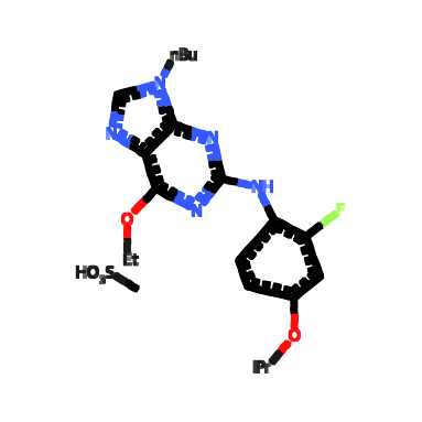 CCCCn1cnc2c(OCC)nc(Nc3ccc(OC(C)C)cc3F)nc21.CS(=O)(=O)O